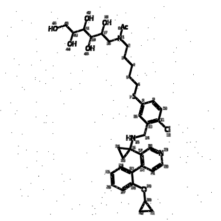 CC(=O)N(CCCCCSc1ccc(Cl)c(CNC2(c3cnccc3-c3ccccc3OC3CC3)CC2)c1)CC(O)C(O)C(O)C(O)CO